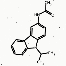 CC(=O)Nc1ccc2c(c1)c1ccccc1n2C(C)C